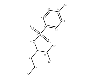 CCCC(OS(=O)(=O)c1ccc(C)cc1)C(C)C